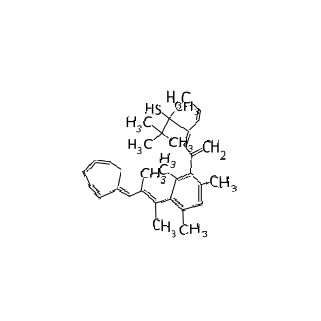 C=C(/C=C(\C=C/C)C(C)(S)C(C)(C)C)c1c(C)cc(C)c(/C(C)=C(C)/C=C2/C=CC=C=CC2)c1C